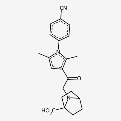 Cc1cc(C(=O)CN2C3CCC2(C(=O)O)CC3)c(C)n1-c1ccc(C#N)cc1